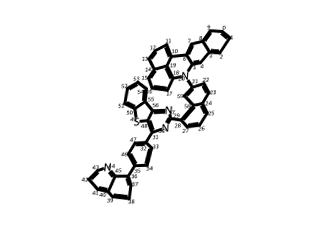 c1ccc2cc3c(cc2c1)-c1cccc2cccc(c12)N3c1ccc2cccc(-c3nc(-c4ccc(-c5cccc6cccnc56)cc4)c4sc5ccccc5c4n3)c2c1